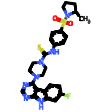 CC1CCCN1S(=O)(=O)c1ccc(NC(=S)N2CCN(c3ncnc4[nH]c5cc(F)ccc5c34)CC2)cc1